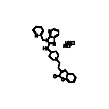 Cl.Cl.Cl.O=c1oc2ccccc2cc1CCN1CCC(Nc2nc3cccnc3n2Cc2ccccn2)CC1